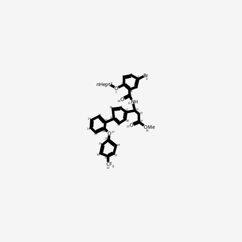 CCCCCCCOc1ccc(Br)cc1C(=O)NC(CC(=O)OC)c1ccc(-c2ccccc2Oc2ccc(C(F)(F)F)cc2)cc1